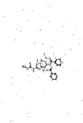 CC(C)(C)OC(=O)NC1=N[C@@H]2[C@@H](OC(=O)c3ccccc3)[C@H](OC(=O)c3ccccc3)[C@@H](CF)O[C@@H]2S1